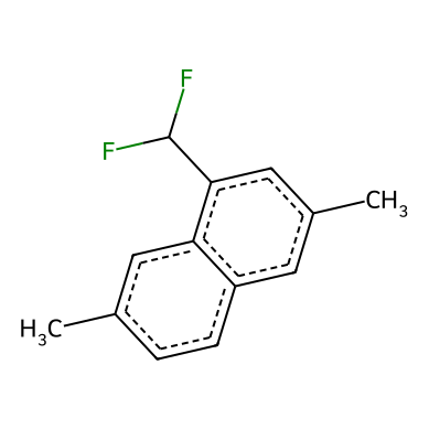 Cc1cc(C(F)F)c2cc(C)ccc2c1